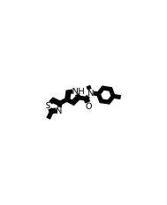 Cc1nc(-c2c[nH]c(C(=O)N(C)C3CCC(C)CC3)c2)cs1